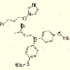 CC(Br)=CCB(c1ccc(SC(C)(C)C)cc1)c1ccc(SC(C)(C)C)cc1.CC(C)CCCOn1ccnc1